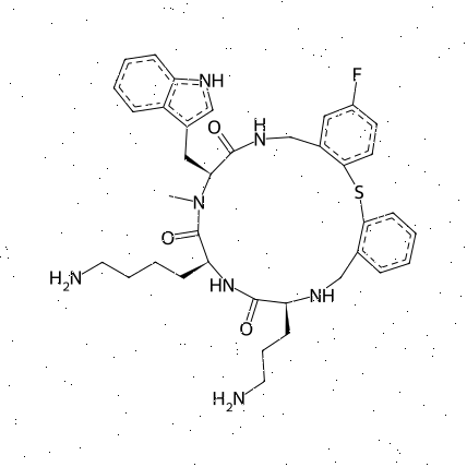 CN1C(=O)[C@H](CCCCN)NC(=O)[C@H](CCCN)NCc2ccccc2Sc2ccc(F)cc2CNC(=O)[C@@H]1Cc1c[nH]c2ccccc12